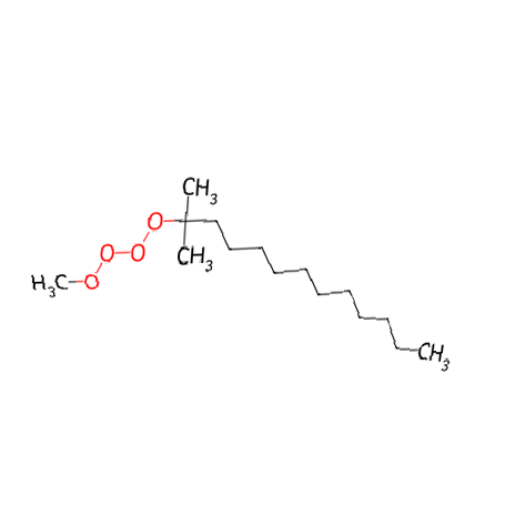 CCCCCCCCCCCC(C)(C)OOOOC